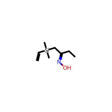 C=C[Si](C)(C)CC(CC)=NO